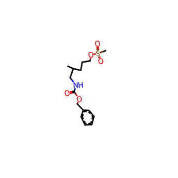 CC(CCCOS(C)(=O)=O)CNC(=O)OCc1ccccc1